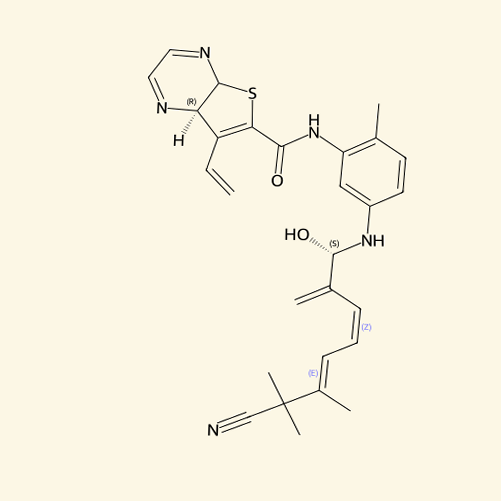 C=CC1=C(C(=O)Nc2cc(N[C@@H](O)C(=C)/C=C\C=C(/C)C(C)(C)C#N)ccc2C)SC2N=CC=N[C@H]12